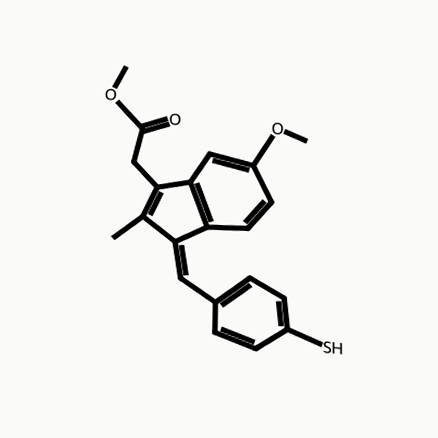 COC(=O)CC1=C(C)/C(=C/c2ccc(S)cc2)c2ccc(OC)cc21